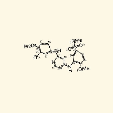 CNS(=O)(=O)c1ccc(OC)c(Nc2cc(Nc3ccc(OC)c(Cl)c3)ncn2)c1